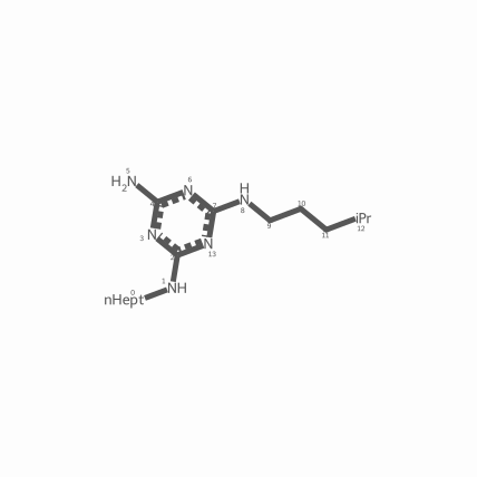 CCCCCCCNc1nc(N)nc(NCCCC(C)C)n1